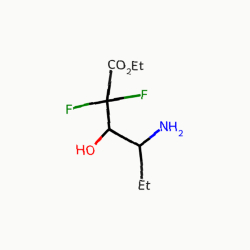 CCOC(=O)C(F)(F)C(O)C(N)CC